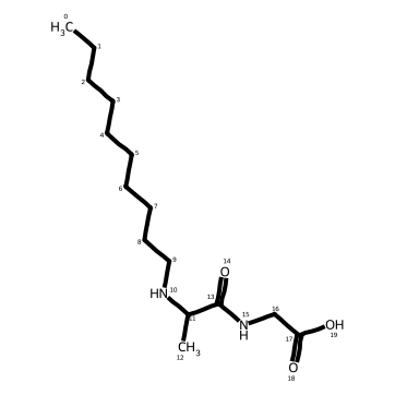 CCCCCCCCCCNC(C)C(=O)NCC(=O)O